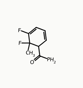 CC1(F)C(F)=CC=CC1C(=O)P